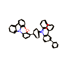 c1ccc(-c2ccc(N(c3ccccc3)c3ccc(-c4cccc5c4Oc4cccc6c7ccccc7n-5c46)cc3)c(-c3ccccc3)c2)cc1